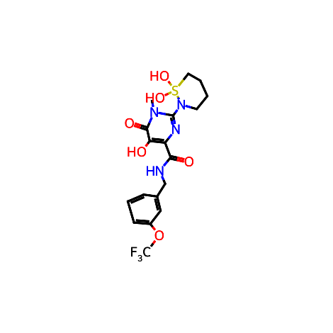 Cn1c(N2CCCCS2(O)O)nc(C(=O)NCc2cccc(OC(F)(F)F)c2)c(O)c1=O